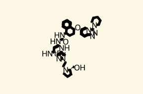 CC(C)(C)C(=N)/C=C(/NC(=O)NC1CCC(Oc2ccc3nnc(N4CCCCC4)n3c2)c2ccccc21)Nc1cnn(CCN2CCC[C@H]2CO)c1